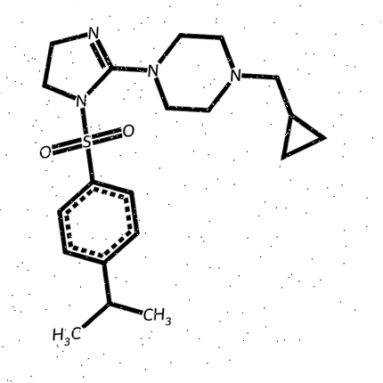 CC(C)c1ccc(S(=O)(=O)N2CCN=C2N2CCN(CC3CC3)CC2)cc1